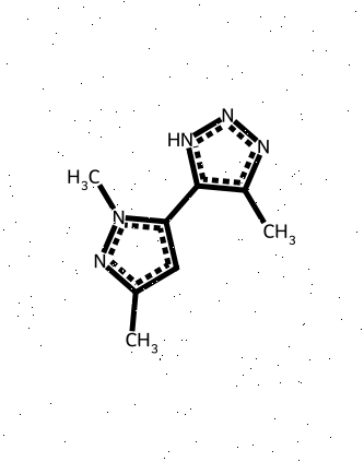 Cc1cc(-c2[nH]nnc2C)n(C)n1